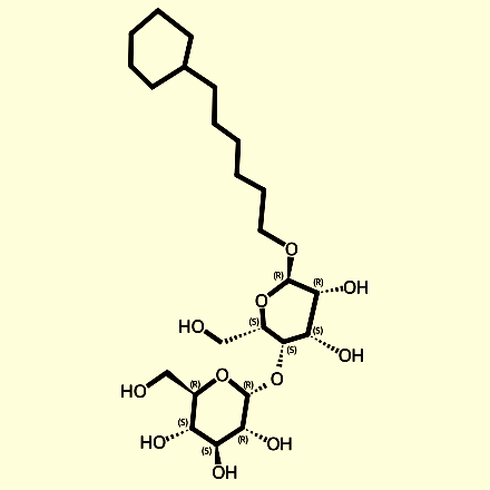 OC[C@@H]1O[C@@H](OCCCCCCC2CCCCC2)[C@H](O)[C@H](O)[C@@H]1O[C@H]1O[C@H](CO)[C@@H](O)[C@H](O)[C@H]1O